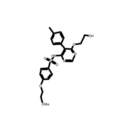 COCCOc1ccc(S(=O)(=O)Nc2ncnc(OCCO)c2-c2ccc(C)cc2)cc1